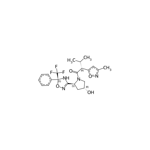 Cc1cc([C@H](C(=O)N2C[C@H](O)C[C@H]2C2=NO[C@@](c3ccccc3)(C(F)(F)F)N2)C(C)C)on1